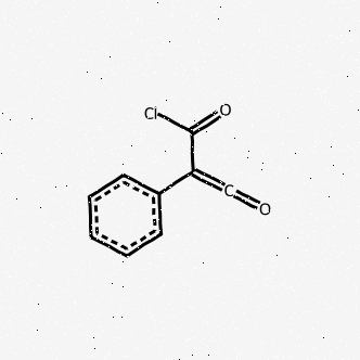 O=C=C(C(=O)Cl)c1ccccc1